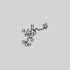 CC(NC(=O)CCCC[C@@H]1CCSS1)C(=O)NC(C=O)CCC(=O)O